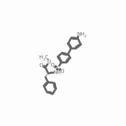 COC(=O)[C@@H](Cc1ccccc1)NS(=O)(=O)c1ccc(-c2ccc(N)cc2)cc1